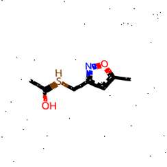 CC(O)=[SH]Cc1cc(C)on1